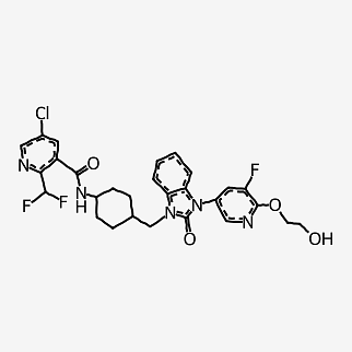 O=C(NC1CCC(Cn2c(=O)n(-c3cnc(OCCO)c(F)c3)c3ccccc32)CC1)c1cc(Cl)cnc1C(F)F